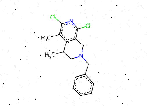 Cc1c(Cl)nc(Cl)c2c1C(C)CN(Cc1ccccc1)C2